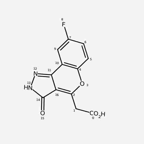 O=C(O)Cc1oc2ccc(F)cc2c2n[nH]c(=O)c1-2